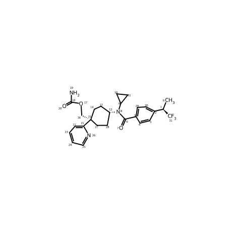 C[C@H](c1ccc(C(=O)N(C2CC2)[C@H]2CC[C@](COC(N)=O)(c3ccccn3)CC2)cc1)C(F)(F)F